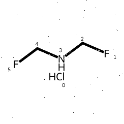 Cl.FCNCF